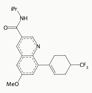 COc1cc(C2=CCC(C(F)(F)F)CC2)c2ncc(C(=O)NC(C)C)cc2c1